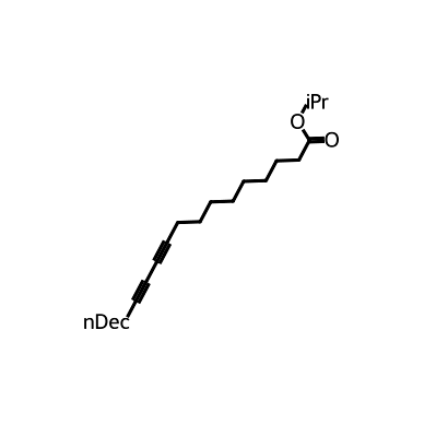 CCCCCCCCCCC#CC#CCCCCCCCCC(=O)OC(C)C